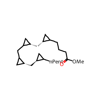 CCCCCC1C[C@@H]1C[C@@H]1CC1CC1C[C@@H]1C[C@@H]1CC1CCCC(=O)OC